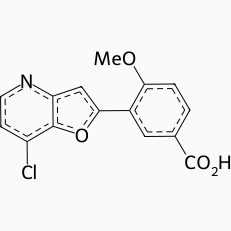 COc1ccc(C(=O)O)cc1-c1cc2nccc(Cl)c2o1